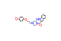 COc1ccc(OCCCN2CCN(C(=O)c3cc4ccccc4[nH]3)CC2)cc1